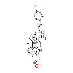 C[C@]12CC[C@H]3[C@@H](CC=C4C[C@@H](O)CC[C@@]43C)[C@@H]1CC[C@@H]2C(=O)/C=C/c1ccc(F)cc1